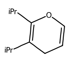 CC(C)C1=C(C(C)C)OC=CC1